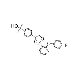 CC(C)(O)c1ccc(C2CO[C@H](c3cccnc3Oc3ccc(F)cc3)O2)cc1